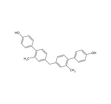 Cc1cc(Cc2ccc(-c3ccc(O)cc3)c(C)c2)ccc1-c1ccc(O)cc1